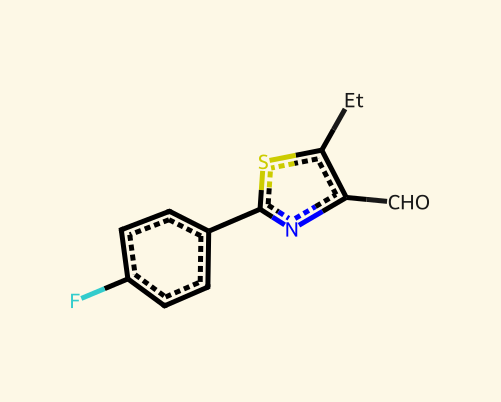 CCc1sc(-c2ccc(F)cc2)nc1C=O